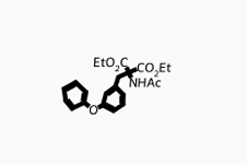 CCOC(=O)C(Cc1cccc(Oc2ccccc2)c1)(NC(C)=O)C(=O)OCC